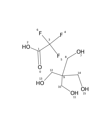 O=C(O)C(F)(F)F.OCC(CO)(CO)CO